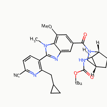 COc1cc(C(=O)N2C[C@H]3CC[C@@H]2[C@@H]3NC(=O)OC(C)(C)C)cc2nc(-c3ccc(C#N)nc3CC3CC3)n(C)c12